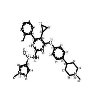 Cc1ccccc1-c1nc(N[S+]([O-])c2cnn(C)c2)nc(Oc2ccc(C3CCN(C)CC3)cc2)c1C1CC1